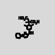 Cc1cc(Nc2ccn(-c3ccccc3)n2)cc(C)c1C(C)(CC(=O)O)C(=O)O